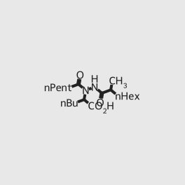 CCCCCCC(C)C(=O)NN(C(=O)CCCCC)C(CCCC)C(=O)O